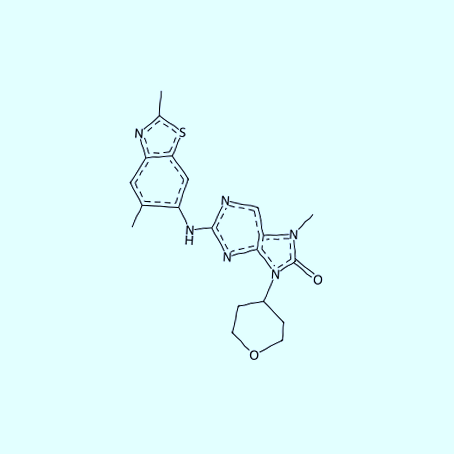 Cc1nc2cc(C)c(Nc3ncc4c(n3)n(C3CCOCC3)c(=O)n4C)cc2s1